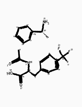 CC(=O)N[C@@H](Cc1ccc(C(F)(F)F)cc1)C(=O)O.C[C@@H](N)c1ccccc1